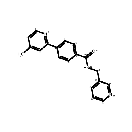 Cc1ccnc(-c2ccc(C(=O)NCc3cccnc3)cc2)c1